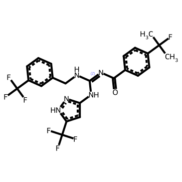 CC(C)(F)c1ccc(C(=O)/N=C(/NCc2cccc(C(F)(F)F)c2)Nc2cc(C(F)(F)F)[nH]n2)cc1